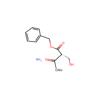 COC(=O)[C@@H](CO)C(=O)OCc1ccccc1.N